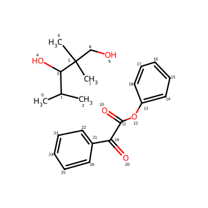 CC(C)C(O)C(C)(C)CO.O=C(Oc1ccccc1)C(=O)c1ccccc1